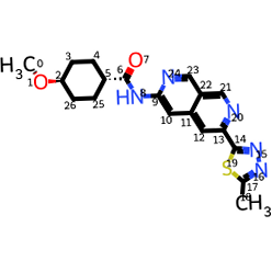 CO[C@H]1CC[C@H](C(=O)Nc2cc3cc(-c4nnc(C)s4)ncc3cn2)CC1